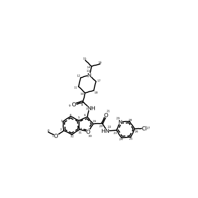 COc1ccc2c(NC(=O)C3CCN(C(C)C)CC3)c(C(=O)Nc3ccc(Cl)cn3)oc2c1